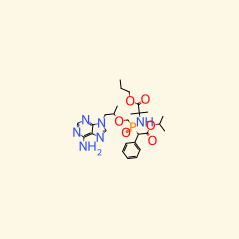 CCCOC(=O)C(C)(C)NP(=O)(COC(C)Cn1cnc2c(N)ncnc21)C(C(=O)OC(C)C)c1ccccc1